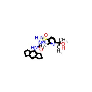 Cc1nc(C(C)(C)O)ccc1[SH](N)(=O)/N=N/C(=O)Nc1c2c(cc3c1CCC3)CCC2